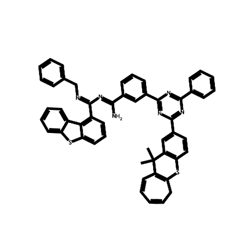 CC1(C)C2=C(CC=CC=C2)Sc2ccc(-c3nc(-c4ccccc4)nc(-c4cccc(/C(N)=N/C(=N\Cc5ccccc5)c5cccc6sc7ccccc7c56)c4)n3)cc21